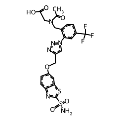 CC(=O)N(CC(=O)O)Cc1ccc(C(F)(F)F)cc1-n1cc(COc2ccc3nc(S(N)(=O)=O)sc3c2)nn1